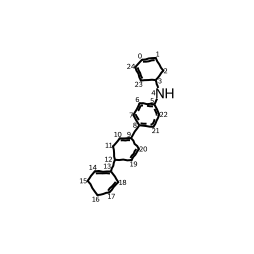 C1=CCC(Nc2ccc(C3=CCC(C4=CCCC=C4)C=C3)cc2)C=C1